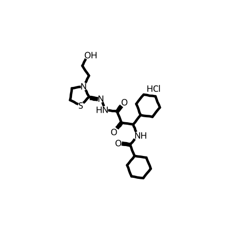 Cl.O=C(N/N=C1\SCCN1CCO)C(=O)C(NC(=O)C1CCCCC1)C1CCCCC1